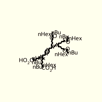 CCCCCCC(CCCC)C(=O)OCCCCN(CCCCOC(=O)C(CCCC)CCCCCC)CCN(CCCCOC(=O)C(CCCC)CCCCCC)CCN1CCN(CCN(CCCCC(CCCC)(CCCCCC)C(=O)O)CCCCC(CCCC)(CCCCCC)C(=O)O)CC1